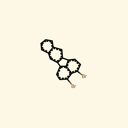 Brc1ccc2c3c(ccc(Br)c13)-c1cc3ccccc3cc1-2